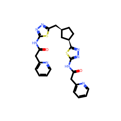 O=C(Cc1ccccn1)Nc1nnc(C[C@H]2CC[C@@H](c3nnc(NC(=O)Cc4ccccn4)s3)C2)s1